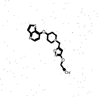 C#CCOc1cc(CN2CCC(Oc3ccnc4ccsc34)CC2)on1